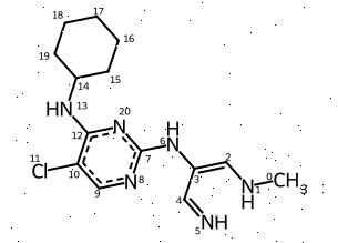 CN/C=C(\C=N)Nc1ncc(Cl)c(NC2CCCCC2)n1